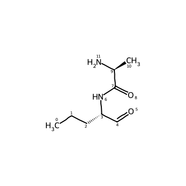 CCC[C@@H](C=O)NC(=O)[C@H](C)N